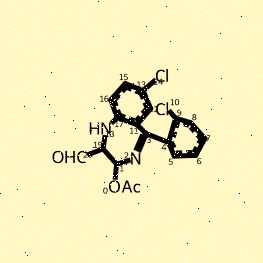 CC(=O)OC1N=C(c2ccccc2Cl)c2cc(Cl)ccc2NC1C=O